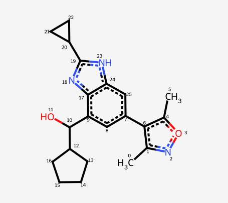 Cc1noc(C)c1-c1cc(C(O)C2CCCC2)c2nc(C3CC3)[nH]c2c1